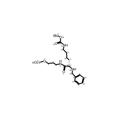 CCCCCCCCOCCCNC(=O)[C@H](CCCCNC(=O)OC(C)(C)C)NCc1ccccc1